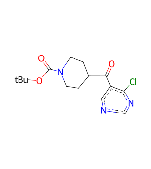 CC(C)(C)OC(=O)N1CCC(C(=O)c2cncnc2Cl)CC1